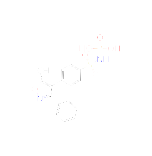 Cc1onc(-c2ccccc2)c1-c1ccc(S(=O)(=O)NP(=O)(O)O)cc1